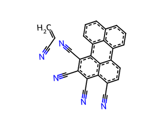 C=CC#N.N#Cc1c(C#N)c2c(C#N)ccc3c4cccc5cccc(c(c1C#N)c23)c54